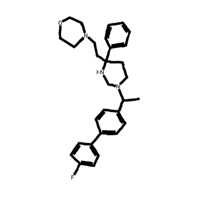 CC(c1ccc(-c2ccc(F)cc2)cc1)N1CCC(CCN2CCOCC2)(c2ccccc2)NC1